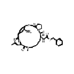 Cc1cc2nc(n1)-c1ccc(c(N)c1)OC[C@@H]1CCCN1C(=O)[C@@H](NC(=O)OCc1ccccc1)CCCCN(C)C2=O